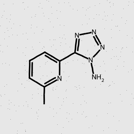 Cc1cccc(-c2nnnn2N)n1